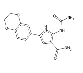 NC(=O)Nc1[nH]c(-c2ccc3c(c2)OCCO3)cc1C(N)=O